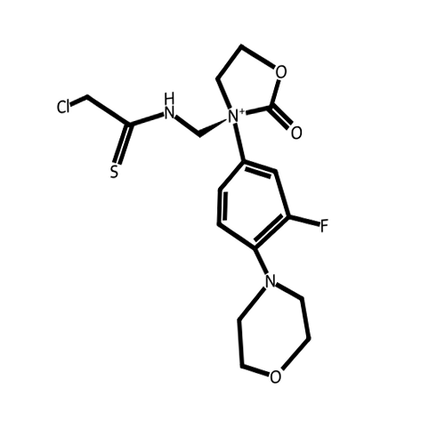 O=C1OCC[N@@+]1(CNC(=S)CCl)c1ccc(N2CCOCC2)c(F)c1